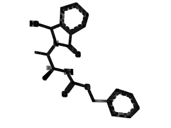 CC([C@H](C)NC(=O)OCc1ccccc1)N1C(=O)c2ccccc2C1O